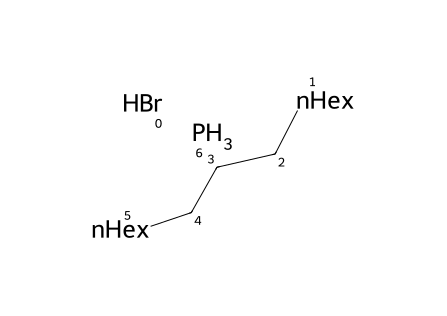 Br.CCCCCCCCCCCCCCC.P